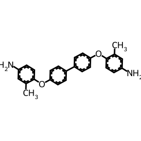 Cc1cc(N)ccc1Oc1ccc(-c2ccc(Oc3ccc(N)cc3C)cc2)cc1